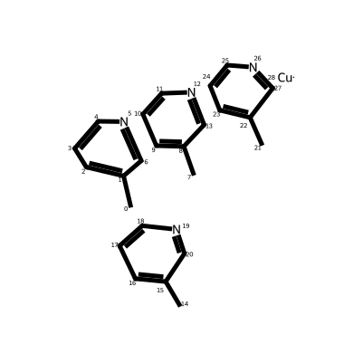 Cc1cccnc1.Cc1cccnc1.Cc1cccnc1.Cc1cccnc1.[Cu]